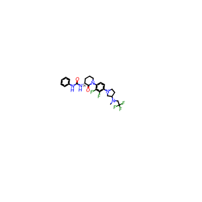 CN(CC(F)(F)F)C1CCN(c2ccc(N3CCC[C@@H](NC(=O)Nc4ccccc4)C3=O)c(F)c2F)C1